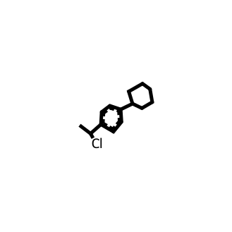 CC(Cl)c1ccc(C2CCCCC2)cc1